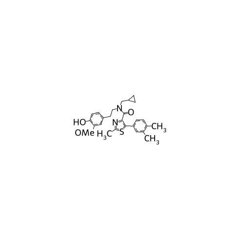 COc1cc(CCN(CC2CC2)C(=O)c2nc(C)sc2-c2ccc(C)c(C)c2)ccc1O